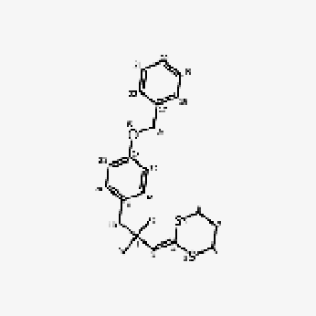 CC(C)(C=C1SCCCS1)Cc1ccc(OCc2ccccc2)cc1